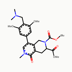 COC(=O)C1Cc2c(c(-c3cc(OC)c(CN(C)C)c(OC)c3)cn(C)c2=O)CN1C(=O)OC(C)(C)C